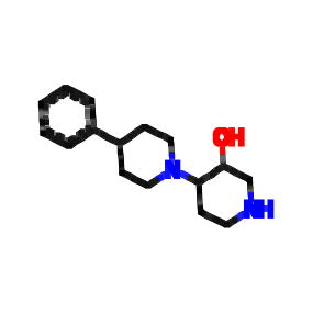 OC1CNCCC1N1CCC(c2ccccc2)CC1